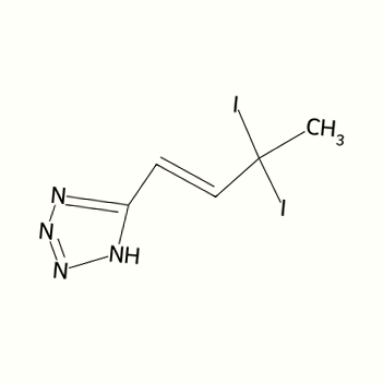 CC(I)(I)/C=C/c1nnn[nH]1